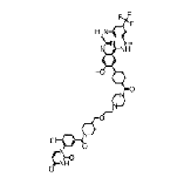 COc1cc2nc(C)nc(N[C@H](C)c3cc(N)cc(C(F)(F)F)c3)c2cc1C1CCC(C(=O)N2CCN(CCOCC3CCN(C(=O)c4ccc(Cl)c(-n5ccc(=O)[nH]c5=O)c4)CC3)CC2)CC1